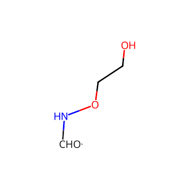 O=[C]NOCCO